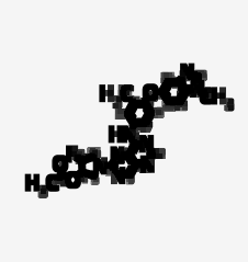 CC(=O)OC1CN(c2ncc3ncnc(Nc4ccc(Oc5ccc6c(c5)ncn6C)c(C)c4)c3n2)CC1F